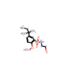 CCCCCCCCOc1ccc(C(C)(C)CC(C)(C)C)cc1S(=O)(=O)NCC[O]